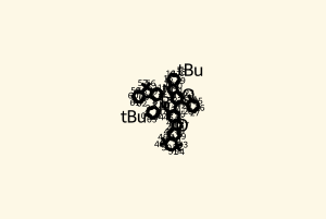 CC(C)(C)c1ccc(N2B3c4cc5c(cc4-n4c6ccc(C(C)(C)C)cc6c6c7oc8ccccc8c7c(c3c64)-c3cc4oc6cc7c(cc6c4cc32)C(C)(C)CCC7(C)C)C(C)(C)c2ccccc2-5)cc1